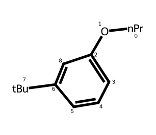 CCCOc1cccc(C(C)(C)C)c1